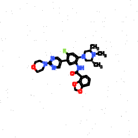 C[C@@H]1CN(c2cc(F)c(-c3cnc(N4CCOCC4)nc3)cc2NC(=O)c2cccc3c2OCO3)C[C@H](C)N1C